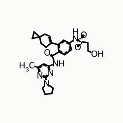 Cc1cc(NC(=O)c2ccc(NS(=O)(=O)CCO)cc2C2=CCC3(CC2)CC3)nc(N2CCCC2)n1